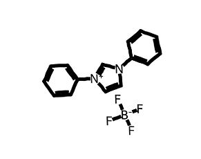 F[B-](F)(F)F.c1ccc(-n2cc[n+](-c3ccccc3)c2)cc1